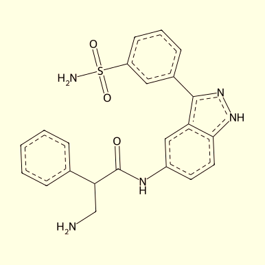 NCC(C(=O)Nc1ccc2[nH]nc(-c3cccc(S(N)(=O)=O)c3)c2c1)c1ccccc1